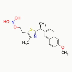 COc1ccc2cc([C@H](C)c3nc(C)c(CCON(O)O)s3)ccc2c1